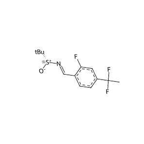 CC(F)(F)c1ccc(C=N[S@+]([O-])C(C)(C)C)c(F)c1